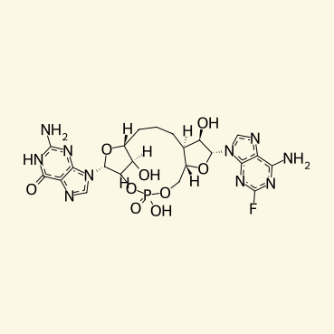 Nc1nc2c(ncn2[C@@H]2O[C@@H]3CCC[C@H]4[C@@H](O)[C@H](n5cnc6c(N)nc(F)nc65)O[C@@H]4COP(=O)(O)O[C@@H]2[C@@H]3O)c(=O)[nH]1